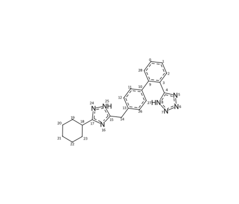 c1ccc(-c2nnn[nH]2)c(-c2ccc(Cc3nc(C4CCCCC4)n[nH]3)cc2)c1